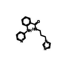 O=C(NCCCn1ccnc1)c1ccccc1Nc1cccnc1